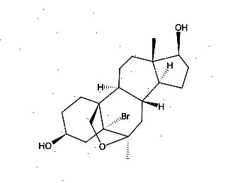 C[C@]12CC[C@H]3[C@@H](C[C@@]4(C)OC[C@@]35CC[C@H](O)C[C@@]54Br)[C@@H]1CC[C@@H]2O